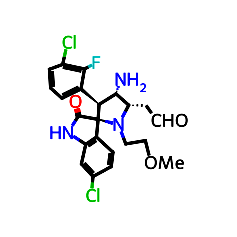 COCCN1[C@@H](CC=O)[C@@H](N)[C@H](c2cccc(Cl)c2F)[C@]12C(=O)Nc1cc(Cl)ccc12